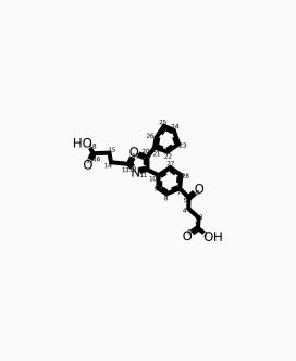 O=C(O)CCC(=O)c1ccc(-c2nc(CCC(=O)O)oc2-c2ccccc2)cc1